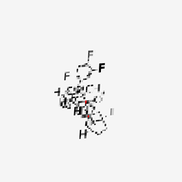 CC(C)(Oc1cc(F)c(F)cc1F)C(=O)N[C@H]1C[C@H]2CC[C@@H](C1)N2c1ccc(S(C)(=O)=O)cc1